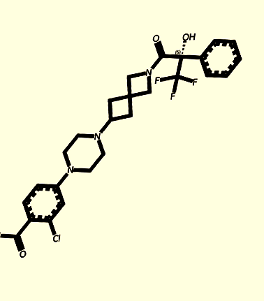 CN(C)C(=O)c1ccc(N2CCN(C3CC4(C3)CN(C(=O)[C@@](O)(c3ccccc3)C(F)(F)F)C4)CC2)cc1Cl